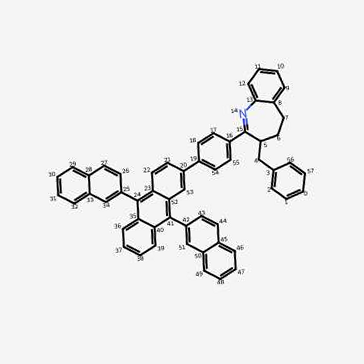 c1ccc(CC2CCc3ccccc3N=C2c2ccc(-c3ccc4c(-c5ccc6ccccc6c5)c5ccccc5c(-c5ccc6ccccc6c5)c4c3)cc2)cc1